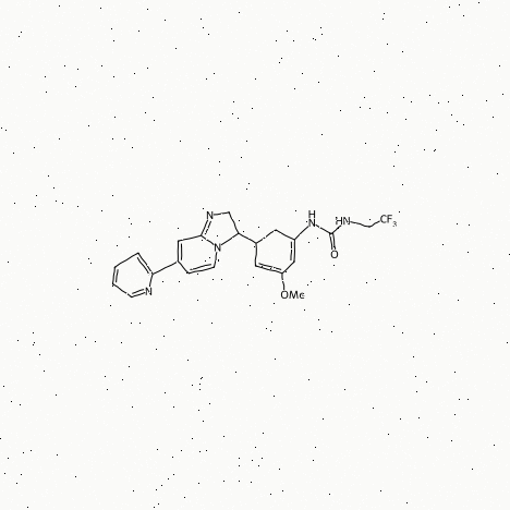 COC1=CC(C2CN=C3C=C(c4ccccn4)C=CN32)CC(NC(=O)NCC(F)(F)F)=C1